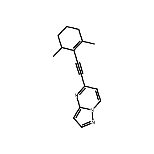 CC1=C(C#Cc2ccn3nccc3n2)C(C)CCC1